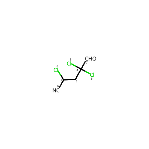 N#CC(Cl)CC(Cl)(Cl)C=O